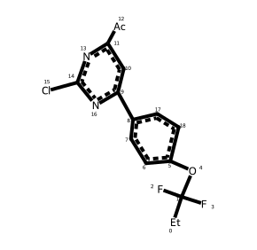 CCC(F)(F)Oc1ccc(-c2cc(C(C)=O)nc(Cl)n2)cc1